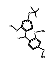 CC(C)Oc1cc(OC(C)(C)I)ccc1C(O)c1ccc(OC(C)(C)C)cc1OC(C)(C)C